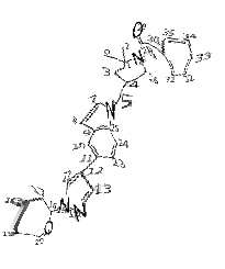 CC1(C)CC(Cn2ccc3cc(-c4cnn(C5CCCCO5)c4)ccc32)CN1C(=O)c1ccccc1